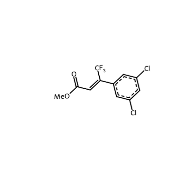 COC(=O)C=C(c1cc(Cl)cc(Cl)c1)C(F)(F)F